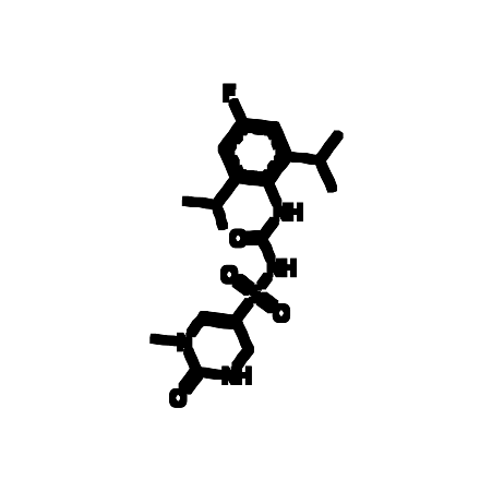 CC(C)c1cc(F)cc(C(C)C)c1NC(=O)NS(=O)(=O)C1=CN(C)C(=O)NC1